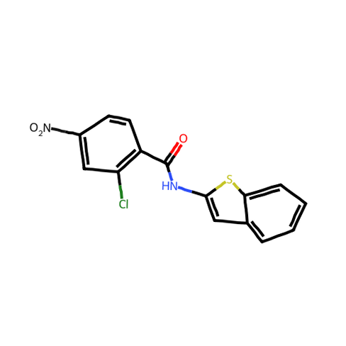 O=C(Nc1cc2ccccc2s1)c1ccc([N+](=O)[O-])cc1Cl